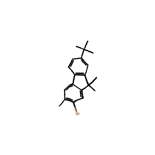 Cc1cc2c(cc1Br)C(C)(C)c1cc(C(C)(C)C)ccc1-2